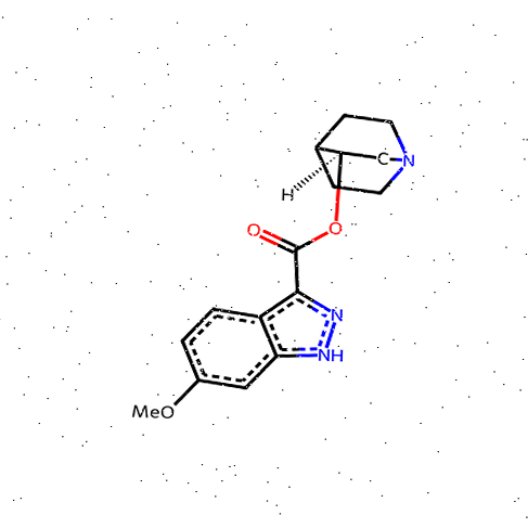 COc1ccc2c(C(=O)O[C@@H]3CN4CCC3CC4)n[nH]c2c1